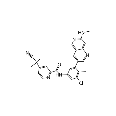 CNc1cc2ncc(-c3cc(NC(=O)c4cc(C(C)(C)C#N)ccn4)cc(Cl)c3C)cc2cn1